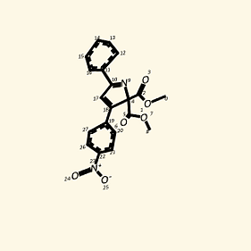 COC(=O)C1(C(=O)OC)N=C(c2ccccc2)C=C1c1ccc([N+](=O)[O-])cc1